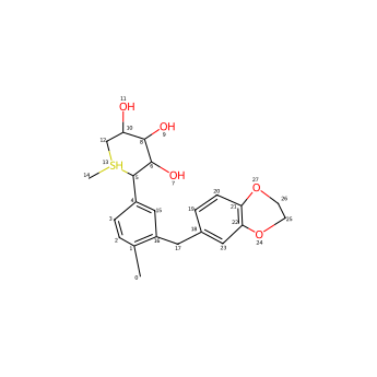 Cc1ccc(C2C(O)C(O)C(O)C[SH]2C)cc1Cc1ccc2c(c1)OCCO2